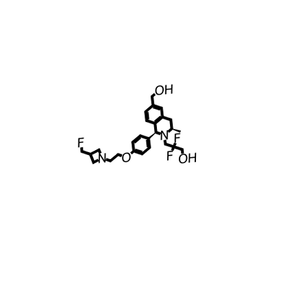 C[C@@H]1Cc2cc(CO)ccc2[C@H](c2ccc(OCCN3CC(CF)C3)cc2)N1CC(F)(F)CO